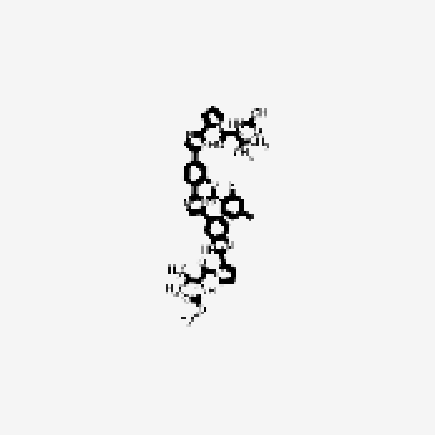 COC(=O)N[C@H](C(=O)n1cccc1-c1nc2ccc(-c3cnc4n3[C@H](c3ccc(F)cc3F)Oc3cc(-c5cnc(-c6cccn6C(=O)[C@@H](NC(=O)O)C(C)C)[nH]5)ccc3-4)cc2[nH]1)C(C)C